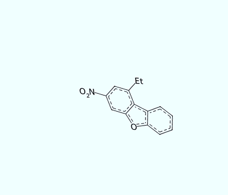 [CH2]Cc1cc([N+](=O)[O-])cc2oc3ccccc3c12